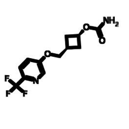 NC(=O)O[C@H]1C[C@@H](COc2ccc(C(F)(F)F)nc2)C1